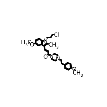 COc1ccc(CCN2CCN(C(=O)C=Cc3c(C)n(CCCCl)c4ccc(OC)cc34)CC2)cc1